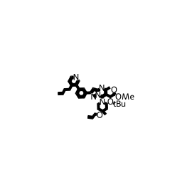 C=CCCc1ccncc1-c1cccc(-c2cc3nc(C)c([C@H](OC(C)(C)C)C(=O)OC)c(N4CCC(C)(OCC=C)CC4)n3n2)c1